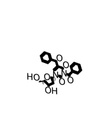 O=C(c1ccccc1)c1cn([C@H]2CC(O)[C@@H](CO)O2)c(=O)n(C(=O)c2ccccc2)c1=O